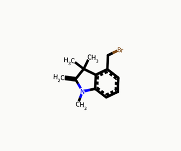 C=C1N(C)c2cccc(CBr)c2C1(C)C